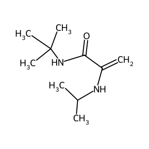 C=C(NC(C)C)C(=O)NC(C)(C)C